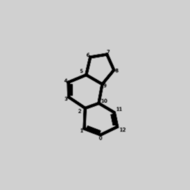 C1=CC2C=CC3CCCC3C2C=C1